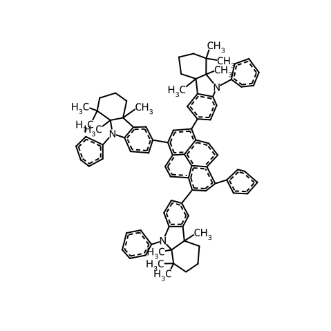 CC1(C)CCCC2(C)c3cc(-c4cc(-c5ccccc5)c5ccc6c(-c7ccc8c(c7)C7(C)CCCC(C)(C)C7(C)N8c7ccccc7)cc(-c7ccc8c(c7)C7(C)CCCC(C)(C)C7(C)N8c7ccccc7)c7ccc4c5c67)ccc3N(c3ccccc3)C12C